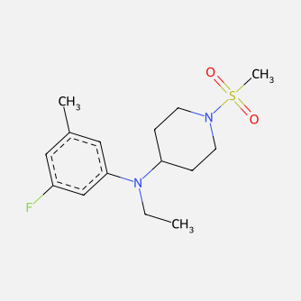 CCN(c1cc(C)cc(F)c1)C1CCN(S(C)(=O)=O)CC1